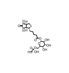 O=C1N[C@H]2[C@H](CS[C@H]2CCCCC(=O)O[C@H]2O[C@H](COP(=O)(O)O)[C@@H](O)[C@H](O)[C@@H]2O)N1